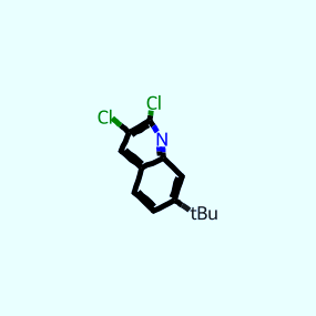 CC(C)(C)c1ccc2cc(Cl)c(Cl)nc2c1